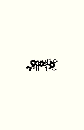 C=CC(C)Nc1cccc(C)c1Nc1cc2sc(-c3c(Cl)c(OC)cc(OC)c3Cl)nc2cn1